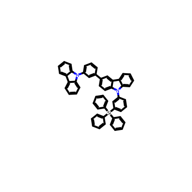 c1ccc([Si](c2ccccc2)(c2ccccc2)c2cccc(-n3c4ccccc4c4cc(-c5cccc(-n6c7ccccc7c7ccccc76)c5)ccc43)c2)cc1